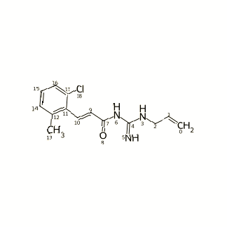 C=CCNC(=N)NC(=O)/C=C/c1c(C)cccc1Cl